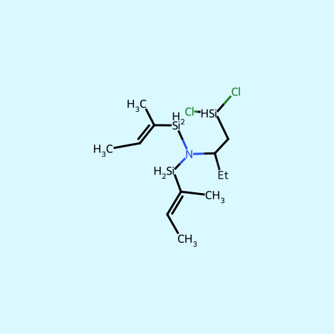 CC=C(C)[SiH2]N([SiH2]C(C)=CC)C(CC)C[SiH](Cl)Cl